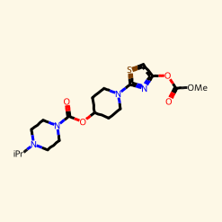 COC(=O)Oc1csc(N2CCC(OC(=O)N3CCN(C(C)C)CC3)CC2)n1